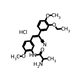 CCOc1cc(C(C#N)=Cc2ccc(OC)c(NC(=O)C(C)N)c2)ccc1OC.Cl